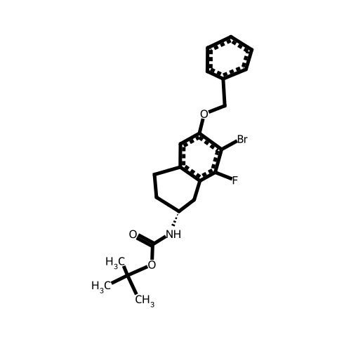 CC(C)(C)OC(=O)N[C@@H]1CCc2cc(OCc3ccccc3)c(Br)c(F)c2C1